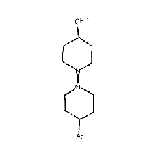 CC(=O)C1CCN(N2CCC(C=O)CC2)CC1